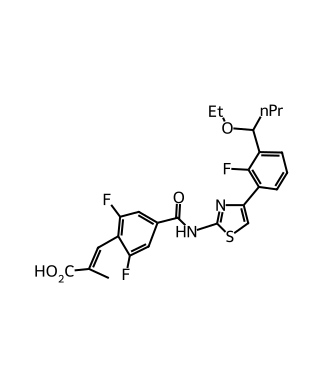 CCCC(OCC)c1cccc(-c2csc(NC(=O)c3cc(F)c(C=C(C)C(=O)O)c(F)c3)n2)c1F